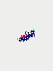 CCc1c(Nc2cc(-n3nc4c(c3O)CCCC4)ncn2)n[nH]c1-c1ccc(F)cc1